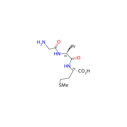 CSCC[C@H](NC(=O)[C@@H](NC(=O)CN)C(C)C)C(=O)O